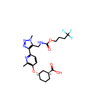 Cc1nc(-c2nnn(C)c2CNC(=O)OCCCC(F)(F)F)ccc1O[C@H]1CCC[C@H](C(=O)O)C1